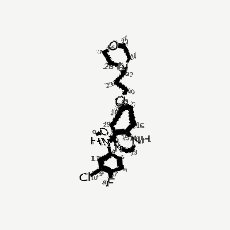 COC1(Nc2ccc(F)c(Cl)c2)N=CNc2ccc(OCCCN3CCOCC3)cc21